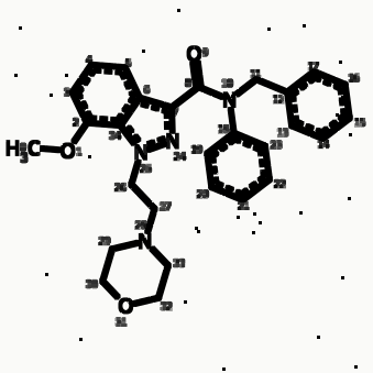 COc1cccc2c(C(=O)N(Cc3ccccc3)c3ccccc3)nn(CCN3CCOCC3)c12